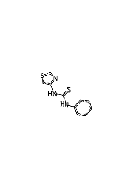 S=C(Nc1ccccc1)Nc1cscn1